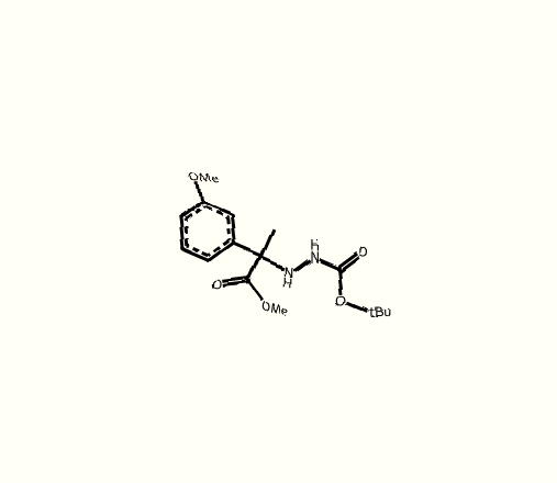 COC(=O)C(C)(NNC(=O)OC(C)(C)C)c1cccc(OC)c1